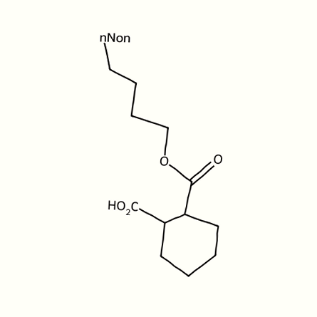 CCCCCCCCCCCCCOC(=O)C1CCCCC1C(=O)O